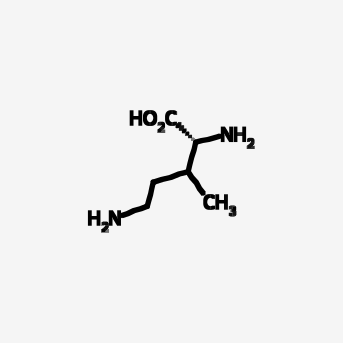 CC(CCN)[C@@H](N)C(=O)O